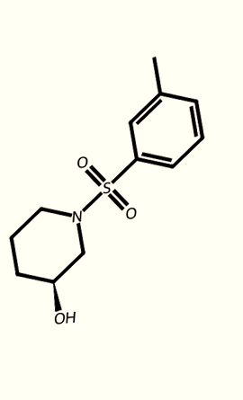 Cc1cccc(S(=O)(=O)N2CCC[C@H](O)C2)c1